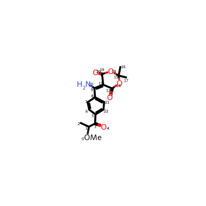 COC(C)C(=O)c1ccc(C(N)=C2C(=O)OC(C)(C)OC2=O)cc1